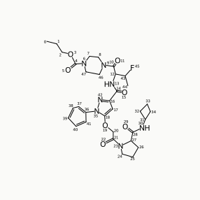 CCCOC(=O)N1CCN(C(=O)C(NC(=O)c2cc(OCC(=O)N3CCCC3C(=O)NC3CCC3)n(-c3ccccc3)n2)C(C)F)CC1